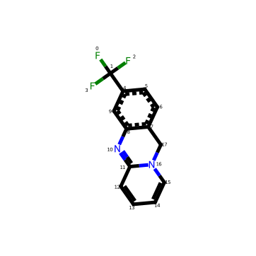 FC(F)(F)c1ccc2c(c1)N=C1C=CC=CN1C2